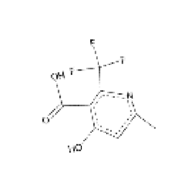 Cc1cc(O)c(C(=O)O)c(C(F)(F)F)n1